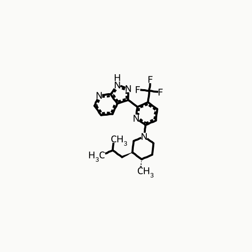 CC(C)C[C@H]1CN(c2ccc(C(F)(F)F)c(-c3n[nH]c4ncccc34)n2)CC[C@@H]1C